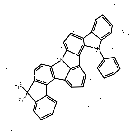 CC1(C)c2ccccc2-c2c1ccc1c2c2cccc3c4c5c(ccc4n1c23)c1ccccc1n5-c1ccccc1